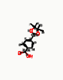 Cc1cc(B2OC(C)(C)C(C)(C)O2)ccc1C(=O)O